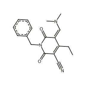 CCC1=C(C#N)C(=O)N(Cc2ccccc2)C(=O)C1=CN(C)C